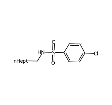 CCCCCCCCNS(=O)(=O)c1c[c]c(Cl)cc1